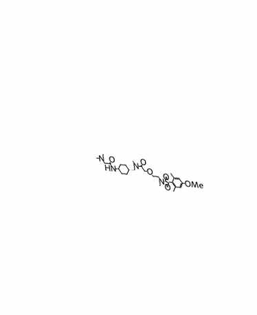 COc1cc(C)c(S(=O)(=O)N(C)CCOCC(=O)N(C)C[C@H]2CC[C@H](NC(=O)CN(C)C)CC2)c(C)c1